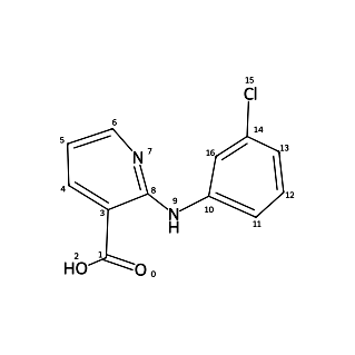 O=C(O)c1cccnc1Nc1cccc(Cl)c1